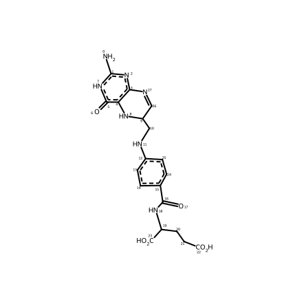 Nc1nc2c(c(=O)[nH]1)NC(CNc1ccc(C(=O)NC(CCC(=O)O)C(=O)O)cc1)C=N2